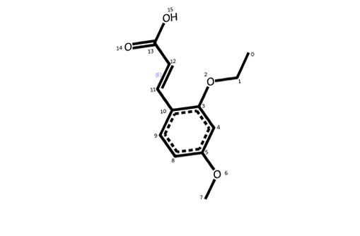 CCOc1cc(OC)ccc1/C=C/C(=O)O